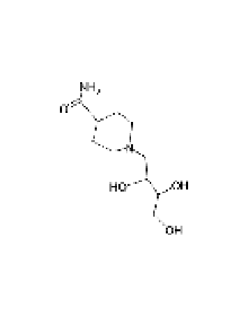 NC(=O)C1CCN(CC(O)C(O)CO)CC1